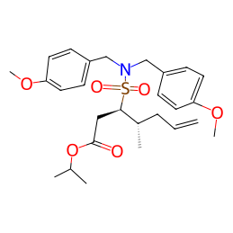 C=CC[C@H](C)[C@@H](CC(=O)OC(C)C)S(=O)(=O)N(Cc1ccc(OC)cc1)Cc1ccc(OC)cc1